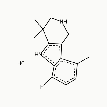 Cc1ccc(F)c2[nH]c3c(c12)CNCC3(C)C.Cl